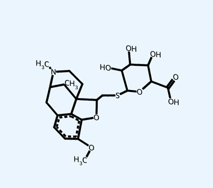 COc1ccc2c3c1OC(CSC1OC(C(=O)O)C(O)C(O)C1O)C31CCN(C)C(C2)C1C